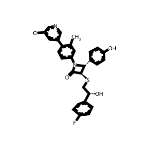 Cc1cc(N2C(=O)[C@H](SC[C@H](O)c3ccc(F)cc3)[C@H]2c2ccc(O)cc2)ccc1-c1cncc(Cl)c1